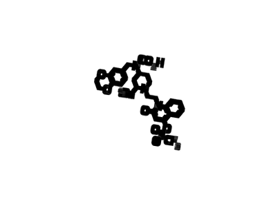 CC(C)(C)C1CC(N(Cc2ccc3c(c2)OCCO3)C(=O)O)CCN1CCn1c(=O)cc(OS(=O)(=O)C(F)(F)F)c2ccccc21